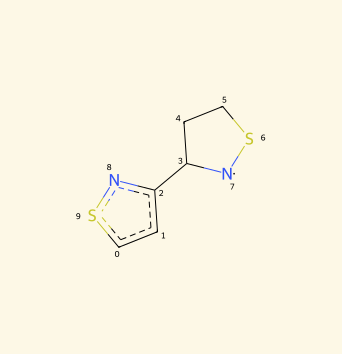 c1cc(C2CCS[N]2)ns1